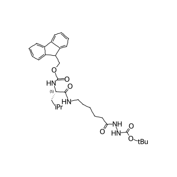 CC(C)C[C@H](NC(=O)OCC1c2ccccc2-c2ccccc21)C(=O)NCCCCCC(=O)NNC(=O)OC(C)(C)C